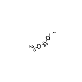 CCCOc1ccc(-c2nnc(-c3ccc(C(=O)O)cc3)o2)cc1